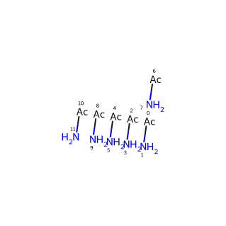 CC(N)=O.CC(N)=O.CC(N)=O.CC(N)=O.CC(N)=O.CC(N)=O